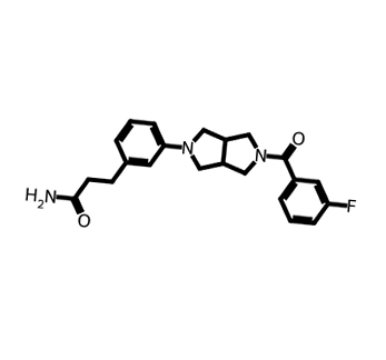 NC(=O)CCc1cccc(N2CC3CN(C(=O)c4cccc(F)c4)CC3C2)c1